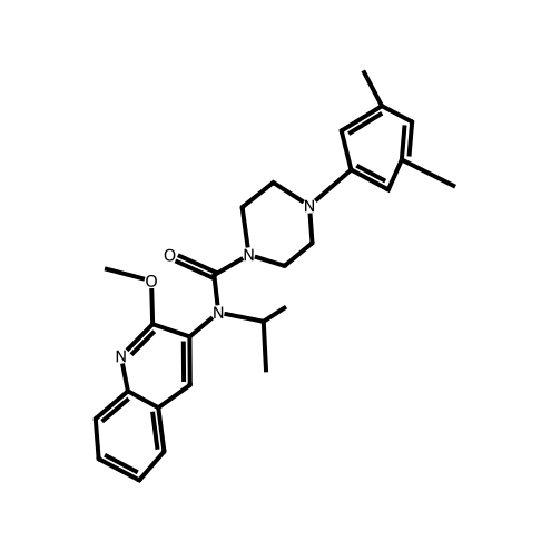 COc1nc2ccccc2cc1N(C(=O)N1CCN(c2cc(C)cc(C)c2)CC1)C(C)C